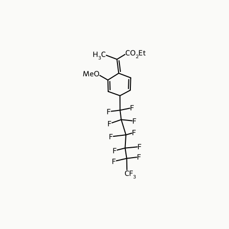 CCOC(=O)C(C)=C1C=CC(C(F)(F)C(F)(F)C(F)(F)C(F)(F)C(F)(F)C(F)(F)F)C=C1OC